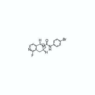 O=C(Nc1ccc(Br)cc1)N1[C@@H]2CC[C@H]1c1ccnc(F)c1C2